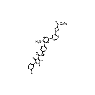 COC(=O)C1CN(c2cc(-c3cnc(N)c(-c4ccc(NC(=O)c5c(C)n(C)n(-c6cccc(Cl)c6)c5=O)cc4)n3)ccn2)C1